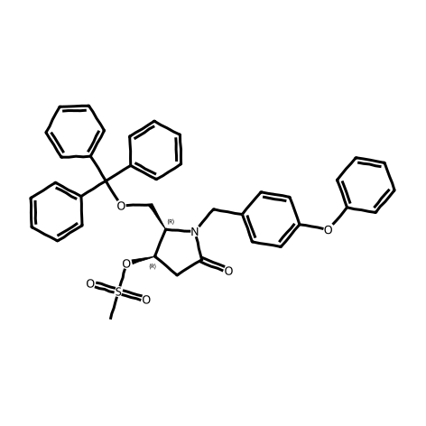 CS(=O)(=O)O[C@@H]1CC(=O)N(Cc2ccc(Oc3ccccc3)cc2)[C@@H]1COC(c1ccccc1)(c1ccccc1)c1ccccc1